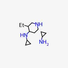 CCC1CNCCC1NC1CC1.NC1CC1